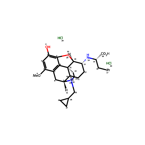 COc1cc(O)c2c3c1C[C@@H]1[C@@H]4CC[C@@H](N[C@@H](CC(C)C)C(=O)O)[C@H](O2)[C@]34CCN1CC1CC1.Cl.Cl